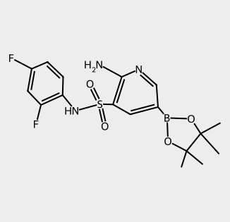 CC1(C)OB(c2cnc(N)c(S(=O)(=O)Nc3ccc(F)cc3F)c2)OC1(C)C